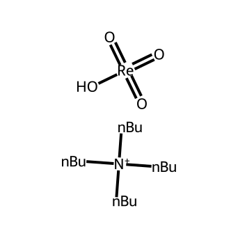 CCCC[N+](CCCC)(CCCC)CCCC.[O]=[Re](=[O])(=[O])[OH]